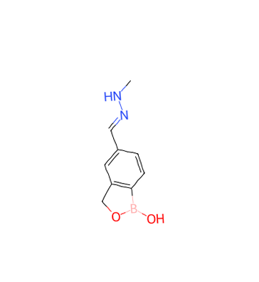 CN/N=C/c1ccc2c(c1)COB2O